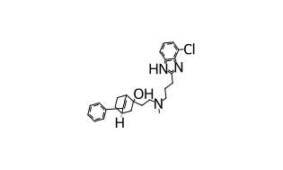 CN(CCCc1nc2c(Cl)cccc2[nH]1)CC[C@]1(O)C[C@H]2CCC1C=C2c1ccccc1